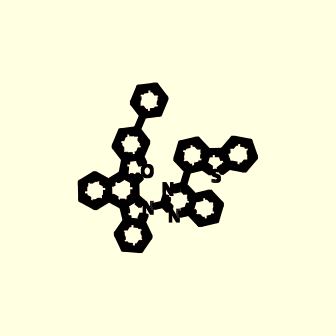 c1ccc(-c2ccc3c(c2)oc2c3c3ccccc3c3c4ccccc4n(-c4nc(-c5cccc6c5sc5ccccc56)c5ccccc5n4)c23)cc1